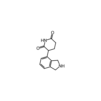 O=C1CCC(c2cccc3c2CNC3)C(=O)N1